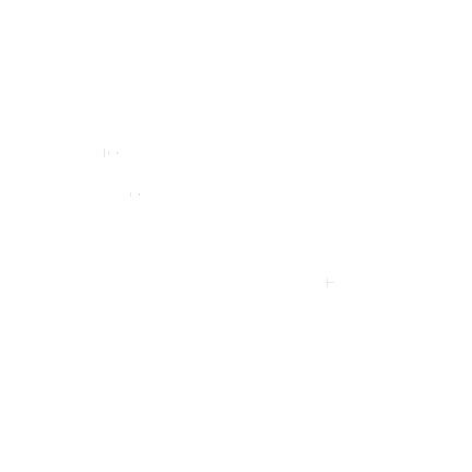 CC(C)OCC(O)COc1ccc(Sc2ccc(OCC(O)CCl)cc2)cc1